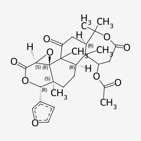 CC(=O)OC1CC(=O)OC(C)(C)[C@@H]2CC(=O)C3(C)[C@H](CC[C@@]4(C)[C@H](c5ccoc5)OC(=O)[C@H]5O[C@@]534)C12C